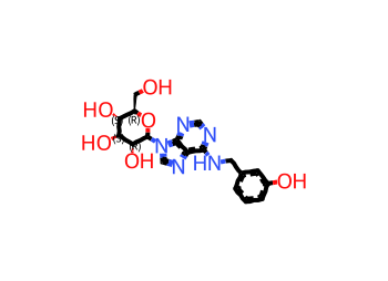 OC[C@H]1OC(n2cnc3c(NCc4cccc(O)c4)ncnc32)[C@H](O)[C@@H](O)[C@@H]1O